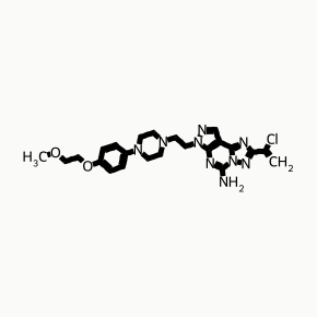 C=C(Cl)c1nc2c3cnn(CCN4CCN(c5ccc(OCCOC)cc5)CC4)c3nc(N)n2n1